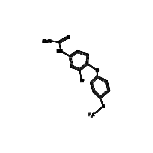 CNC(=O)Nc1ccc(Oc2ccc(SC(F)(F)F)cc2)c(Br)c1